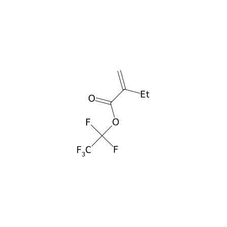 C=C(CC)C(=O)OC(F)(F)C(F)(F)F